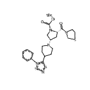 CC(C)(C)OC(=O)N1C[C@@H](N2CCC(c3nnnn3-c3ccccc3)CC2)C[C@H]1C(=O)N1CCSC1